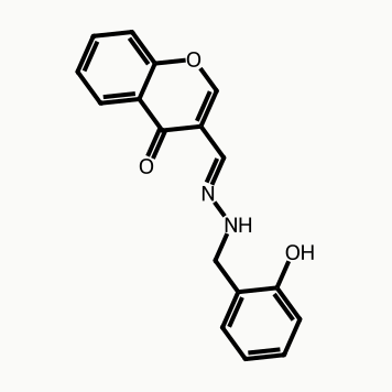 O=c1c(C=NNCc2ccccc2O)coc2ccccc12